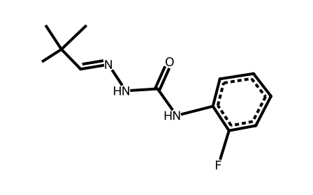 CC(C)(C)/C=N/NC(=O)Nc1ccccc1F